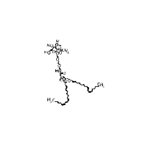 CCCCC/C=C\C/C=C\CCCCCCCCOC[C@H](CN(C)CC(=O)NCCOCCOCCO[C@@H]1OC(CO)[C@H](O)C(O)[C@@H]1NC(C)=O)OCCCCCCCC/C=C\C/C=C\CCCCC